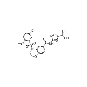 COc1ccc(Cl)cc1S(=O)(=O)N1CCOc2ccc(C(=O)Nc3ncc(C(=O)O)s3)cc21